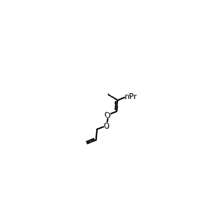 C=CCOOC=C(C)CCC